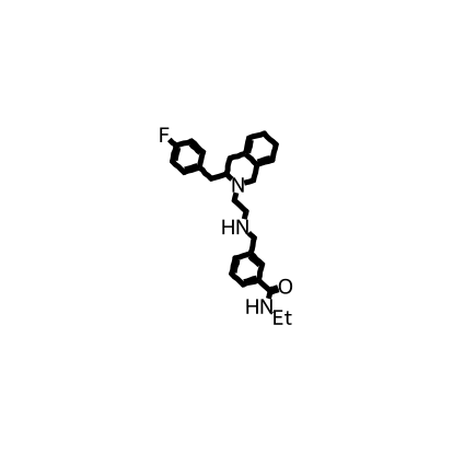 CCNC(=O)c1cccc(CNCCN2CC3=CCCC=C3CC2Cc2ccc(F)cc2)c1